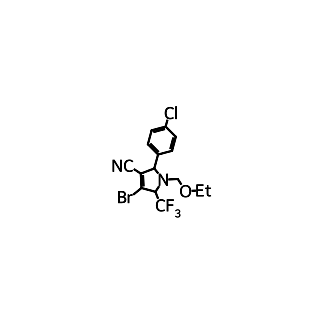 CCOCN1C(c2ccc(Cl)cc2)C(C#N)=C(Br)C1C(F)(F)F